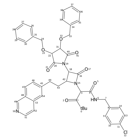 CC(C)(C)C(=O)C(C(=O)NCc1ccc(Cl)cc1)N1C(=O)C(N2C(=O)C(OCc3ccccc3)C(OCc3ccccc3)C2=O)C1CCc1ccc2cnccc2c1